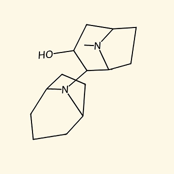 CN1[C]2CCC1CC(O)C2N1C2CCCC1CC2